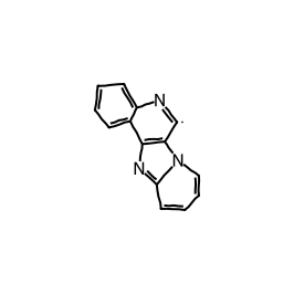 [c]1nc2ccccc2c2nc3ccccn3c12